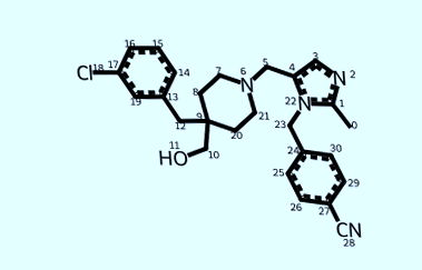 Cc1ncc(CN2CCC(CO)(Cc3cccc(Cl)c3)CC2)n1Cc1ccc(C#N)cc1